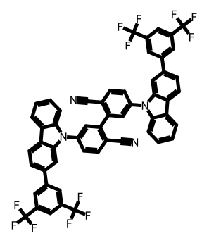 N#Cc1ccc(-n2c3ccccc3c3ccc(-c4cc(C(F)(F)F)cc(C(F)(F)F)c4)cc32)cc1-c1cc(-n2c3ccccc3c3ccc(-c4cc(C(F)(F)F)cc(C(F)(F)F)c4)cc32)ccc1C#N